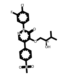 CC(C)[C@@H](O)COc1c(-c2ccc(S(C)(=O)=O)cc2)cnn(-c2ccc(Cl)c(F)c2)c1=O